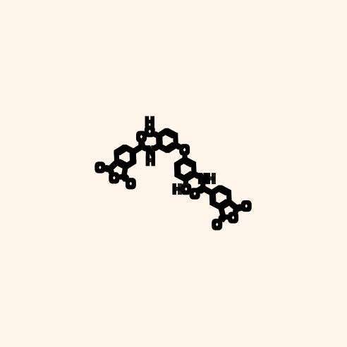 O=C(Nc1cc(Oc2ccc(O)c(NC(=O)c3ccc4c(c3)C(=O)OC4=O)c2)ccc1O)c1ccc2c(c1)C(=O)OC2=O